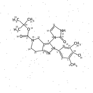 Cc1cc(-n2nc3c(c2-n2cc[nH]c2=O)CN(C(=O)OC(C)(C)C)CC3)cc(C)c1Cl